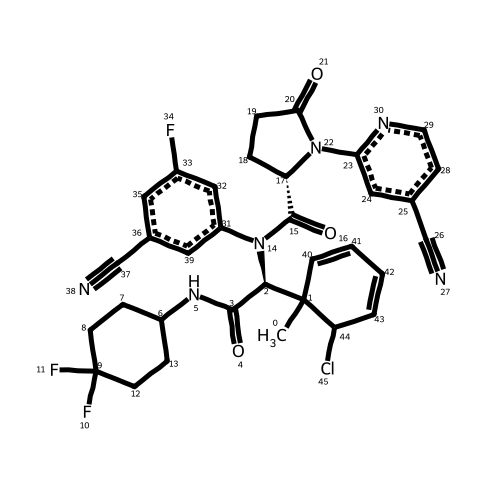 CC1([C@@H](C(=O)NC2CCC(F)(F)CC2)N(C(=O)[C@@H]2CCC(=O)N2c2cc(C#N)ccn2)c2cc(F)cc(C#N)c2)C=CC=CC1Cl